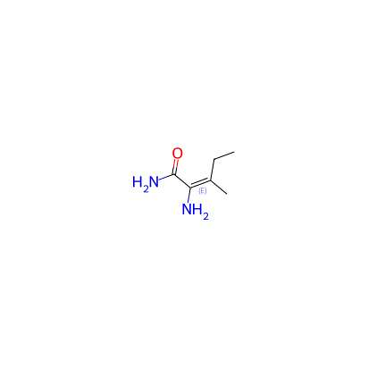 CC/C(C)=C(/N)C(N)=O